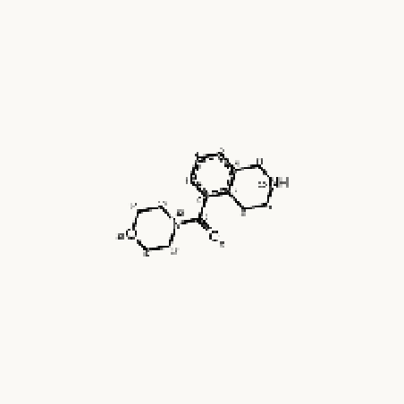 O=C(c1cccc2c1CCNC2)N1CCOCC1